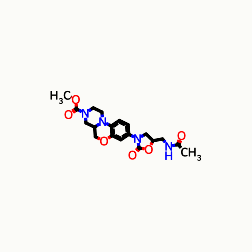 COC(=O)N1CCN2c3ccc(N4CC(CNC(C)=O)OC4=O)cc3OCC2C1